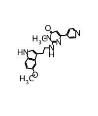 COc1ccc2[nH]cc(CCNc3nc(-c4ccncc4)cc(=O)n3C)c2c1